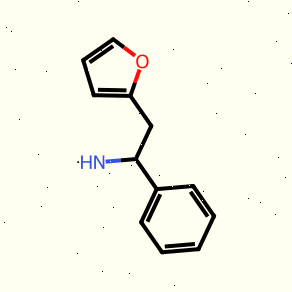 [NH]C(Cc1ccco1)c1ccccc1